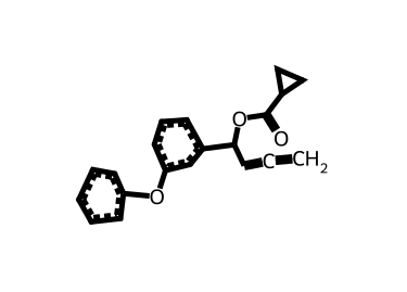 C=C=CC(OC(=O)C1CC1)c1cccc(Oc2ccccc2)c1